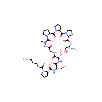 C[C@H](NC(=O)CNC(=O)[C@H](CO)NC(=O)[C@H](CO)NC(=O)[C@@H]1CCCN1C(=O)CCCCN)C(=O)N1CCC[C@H]1C(=O)N1CCC[C@H]1C(=O)N1CCC[C@H]1C(=O)N[C@@H](CO)C(=O)O